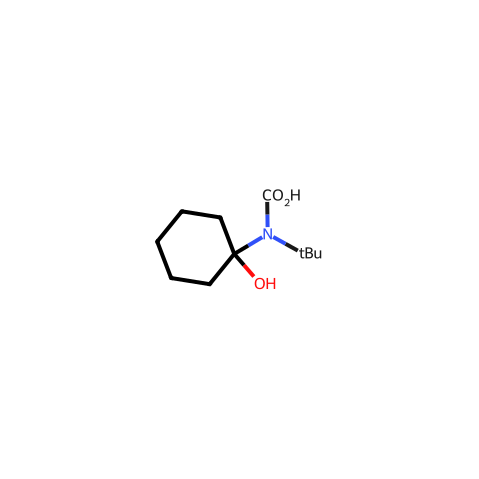 CC(C)(C)N(C(=O)O)C1(O)CCCCC1